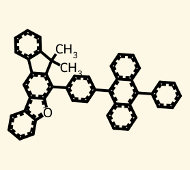 CC1(C)c2ccccc2-c2cc3c(oc4ccccc43)c(-c3ccc(-c4c5ccccc5c(-c5ccccc5)c5ccccc45)cc3)c21